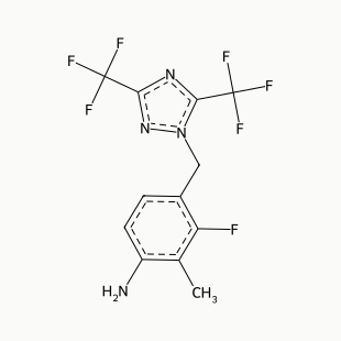 Cc1c(N)ccc(Cn2nc(C(F)(F)F)nc2C(F)(F)F)c1F